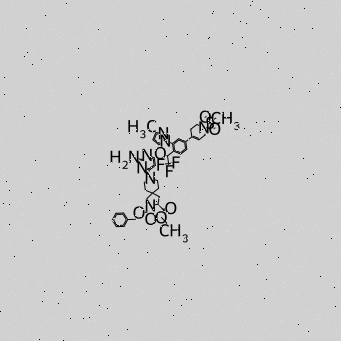 CCOC(=O)[C@@H]1CC2(CCN(c3cc(O[C@H](c4ccc(C5=CCN(S(C)(=O)=O)CC5)cc4-n4ccc(C)n4)C(F)(F)F)nc(N)n3)CC2)CN1C(=O)OCc1ccccc1